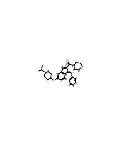 CC(C)N1CCC(Oc2ccc3c(c2)cc(C(=O)N2CCOCC2)n3Cc2ccccc2)CC1